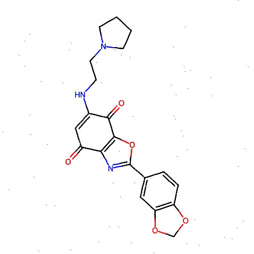 O=C1C=C(NCCN2CCCC2)C(=O)c2oc(-c3ccc4c(c3)OCO4)nc21